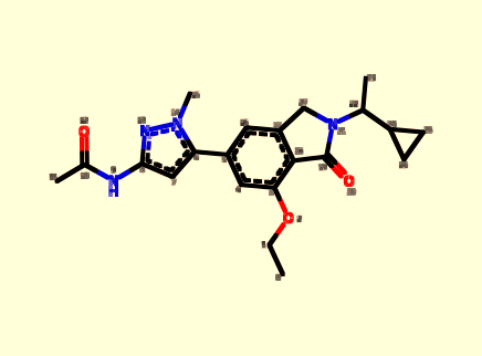 CCOc1cc(-c2cc(NC(C)=O)nn2C)cc2c1C(=O)N(C(C)C1CC1)C2